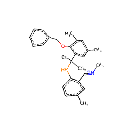 CCC(C)(Pc1ccc(C)cc1/C=N/C)c1cc(C)cc(C)c1OCc1ccccc1